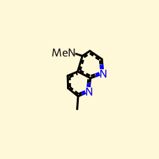 CNc1ccnc2nc(C)ccc12